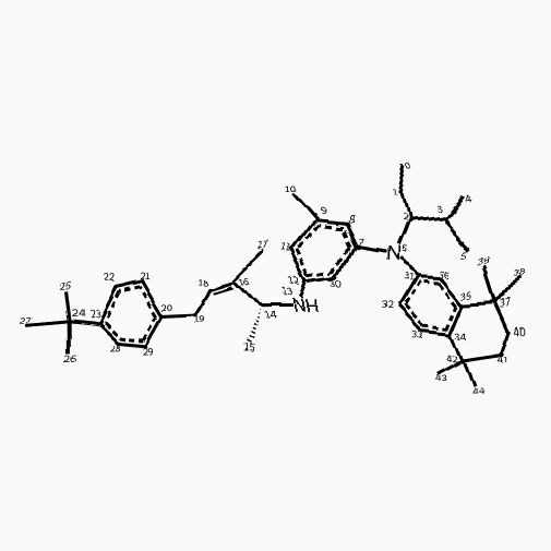 CCC(C(C)C)N(c1cc(C)cc(N[C@H](C)/C(C)=C\Cc2ccc(C(C)(C)C)cc2)c1)c1ccc2c(c1)C(C)(C)CCC2(C)C